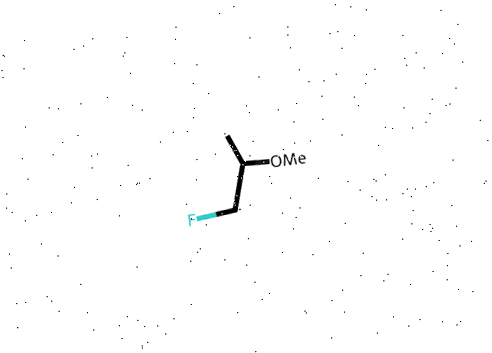 COC(C)[CH]F